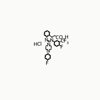 Cl.O=C(O)CC1c2ccccc2N=C(N2CCN(c3ccc(F)cc3)CC2)N1c1ccc(F)c(C(F)(F)F)c1